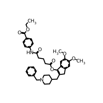 CCOC(=O)c1ccc(NC(=O)CCCC(=O)OC2=C(CC3CCN(Cc4ccccc4)CC3)Cc3cc(OC)c(OC)cc32)cc1